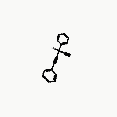 C#CC(C#Cc1ccccc1)(CC)c1ccccc1